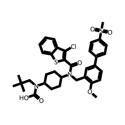 COc1ccc(-c2ccc(S(C)(=O)=O)cc2)cc1CN(C(=O)c1sc2ccccc2c1Cl)C1CCC(N(CC(C)(C)C)C(=O)O)CC1